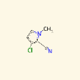 Cn1ccc(Cl)c1C#N